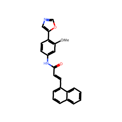 COc1cc(NC(=O)C=Cc2cccc3ccccc23)ccc1-c1cnco1